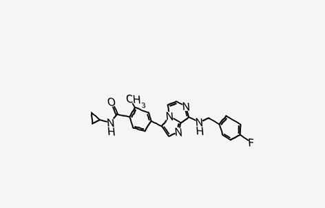 Cc1cc(-c2cnc3c(NCc4ccc(F)cc4)nccn23)ccc1C(=O)NC1CC1